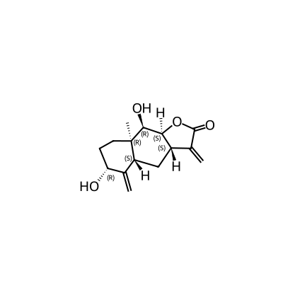 C=C1[C@H](O)CC[C@]2(C)[C@@H]1C[C@H]1C(=C)C(=O)O[C@@H]1[C@@H]2O